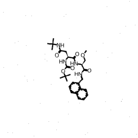 COC[C@H](NC(=O)[C@H](CC(=O)NC(C)(C)C)NC(=O)OC(C)(C)C)C(=O)NCc1cccc2ccccc12